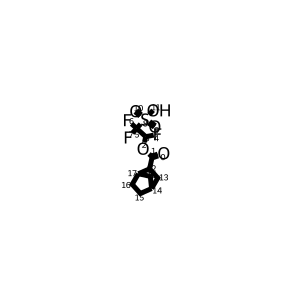 O=C(OC(F)C(F)(F)S(=O)(=O)O)C1CC2CCC1C2